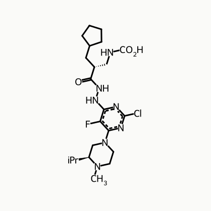 CC(C)[C@H]1CN(c2nc(Cl)nc(NNC(=O)[C@@H](CNC(=O)O)CC3CCCC3)c2F)CCN1C